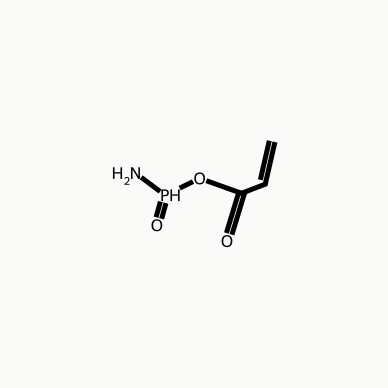 C=CC(=O)O[PH](N)=O